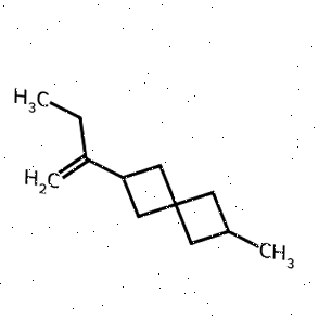 C=C(CC)C1CC2(CC(C)C2)C1